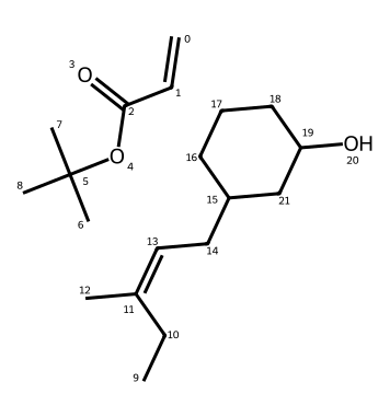 C=CC(=O)OC(C)(C)C.CCC(C)=CCC1CCCC(O)C1